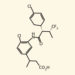 CC(CC(=O)O)c1ccc(Cl)c(NC(=O)[C@H](C2C=CC(Cl)=CC2)[C@@H](C)C(F)(F)F)c1